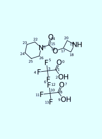 O=C(O)C(F)(F)F.O=C(O)C(F)(F)F.O=C(OC1CNC1)N1CCCCC1